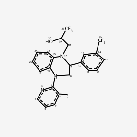 Cc1cccnc1N1CC(c2cccc(C(F)(F)F)c2)N(CC(O)C(F)(F)F)c2ccccc21